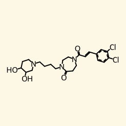 O=C(C=Cc1ccc(Cl)c(Cl)c1)N1CCC(=O)N(CCCCN2CCC(O)C(O)C2)CC1